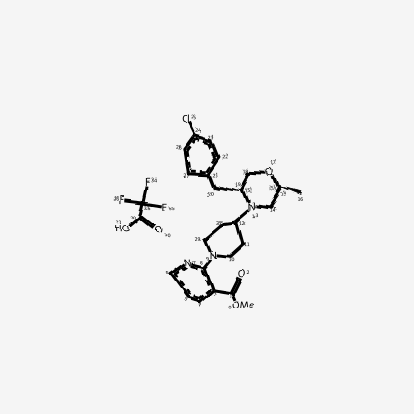 COC(=O)c1cccnc1N1CCC(N2C[C@H](C)OC[C@@H]2Cc2ccc(Cl)cc2)CC1.O=C(O)C(F)(F)F